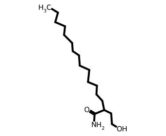 CCCCCCCCCCCCCCC(CCO)C(N)=O